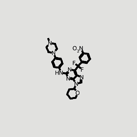 CN1CCN(c2ccc(Nc3nc(C(F)(F)c4cccc([N+](=O)[O-])c4)c4ncn(C5CCCCO5)c4n3)cc2)CC1